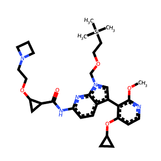 COc1nccc(OC2CC2)c1-c1cn(COCC[Si](C)(C)C)c2nc(NC(=O)C3CC3OCCN3CCC3)ccc12